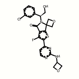 O=C1c2c(sc(-c3ccnc(NC4COC4)n3)c2F)C2(COC2)N1[C@H](CO)c1cccc(Cl)c1